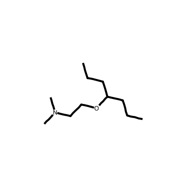 CCCC(CCC)OCCN(C)C